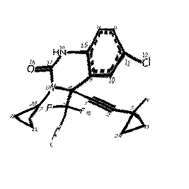 CC1(C#CC2(C(F)(F)F)c3cc(Cl)ccc3NC(=O)N2C2CC2)CC1